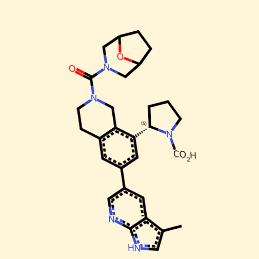 Cc1c[nH]c2ncc(-c3cc4c(c([C@@H]5CCCN5C(=O)O)c3)CN(C(=O)N3CC5CCC(C3)O5)CC4)cc12